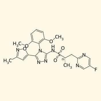 COc1cccc(OC)c1-n1c(NS(=O)(=O)[C@@H](C)Cc2ncc(F)cn2)nnc1-c1cc(C)no1